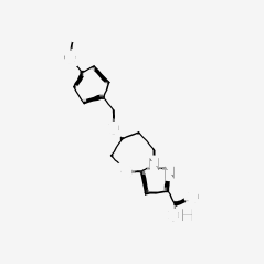 COc1ccc(COC2CCn3nc(C(=O)O)cc3OC2)cc1